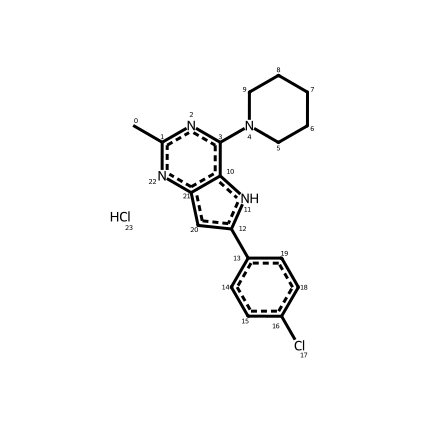 Cc1nc(N2CCCCC2)c2[nH]c(-c3ccc(Cl)cc3)cc2n1.Cl